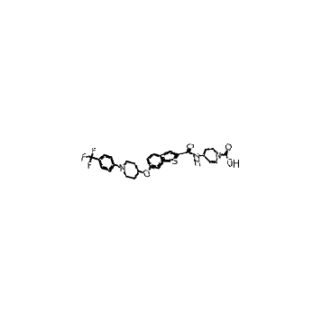 O=C(NC1CCN(C(=O)O)CC1)c1cc2ccc(OC3CCN(c4ccc(C(F)(F)F)cc4)CC3)cc2s1